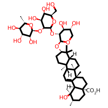 C[C@@H]1O[C@@H](O[C@H]2[C@H](O[C@H]3[C@H](O[C@H]4CC[C@]5(C)[C@H]6CC=C7[C@H]8[C@](C(=O)O)(CC[C@H](C)[C@@]8(C)O)CC[C@@]7(C)[C@]6(C)CC[C@H]5C4(C)C)OC[C@@H](O)[C@@H]3O)O[C@H](CO)[C@@H](O)[C@@H]2O)[C@H](O)[C@H](O)[C@H]1O